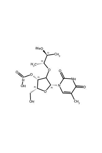 CO[C@@H](C)[C@@H](C)OC1[C@@H](O[PH](=O)O)[C@@H](CO)O[C@H]1n1cc(C)c(=O)[nH]c1=O